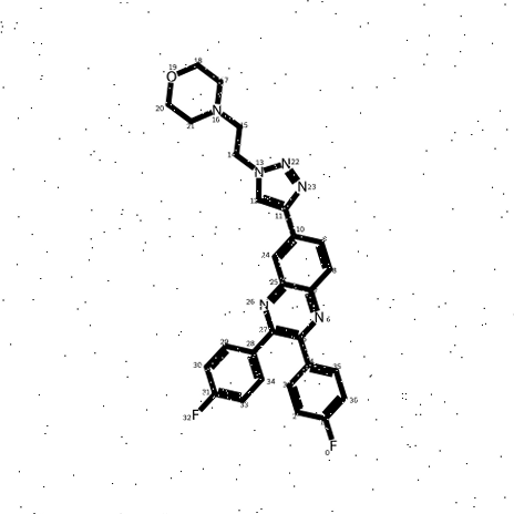 Fc1ccc(-c2nc3ccc(-c4cn(CCN5CCOCC5)nn4)cc3nc2-c2ccc(F)cc2)cc1